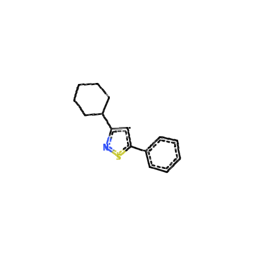 [c]1c(C2CCCCC2)nsc1-c1ccccc1